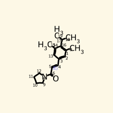 Cc1cc(/C=C/C(=O)N2CCCC2)cc(C)c1C(C)C